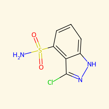 NS(=O)(=O)c1cccc2[nH]nc(Cl)c12